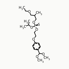 CCOCC(C)COP(=S)(OCCOc1ccc(C(OC)OC)cc1)OC(C)C